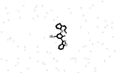 Cc1c(-c2noc3ccccc23)cc(C(C)(C)C)cc1-[n+]1c(C)ccc2ccccc21